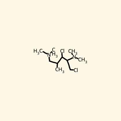 CC(CN(C)C)C(Cl)C(CCl)N(C)C